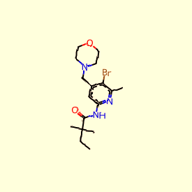 CCC(C)(C)C(=O)Nc1cc(CN2CCOCC2)c(Br)c(C)n1